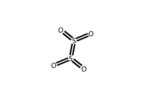 O=S(=O)=S(=O)=O